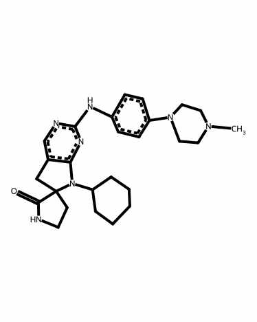 CN1CCN(c2ccc(Nc3ncc4c(n3)N(C3CCCCC3)C3(CCNC3=O)C4)cc2)CC1